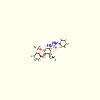 COc1cc(NC(=O)Nc2ccccc2)cc(C)c1Oc1ccccc1